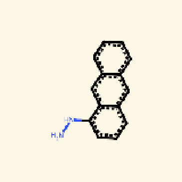 NNc1cccc2cc3ccccc3cc12